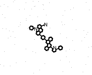 N#Cc1ccc2c3c1ccc1c(-c4ccc(-c5cc6c7ccccc7c(-c7cccc(-c8ccccc8)n7)cc6c6ccccc56)cc4)ccc(c13)n2-c1ccccc1